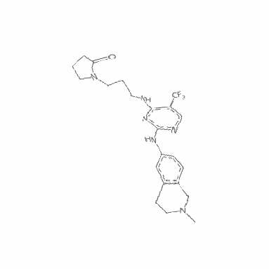 CN1CCc2cc(Nc3ncc(C(F)(F)F)c(NCCCN4CCCC4=O)n3)ccc2C1